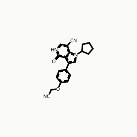 N#CCOc1ccc(-c2cn(C3CCCC3)c3c(C#N)c[nH]c(=O)c23)cc1